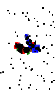 COc1c(Nc2cc(C)[nH]n2)nc(Sc2ccc(S(=O)(=O)C3(c4cccc([N+](=O)[O-])c4F)CC3)cc2F)nc1N1CCN(CCN(C)C)CC1